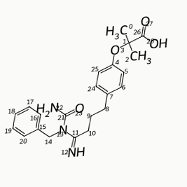 CC(C)(Oc1ccc(CCCC(=N)N(Cc2ccccc2)C(N)=O)cc1)C(=O)O